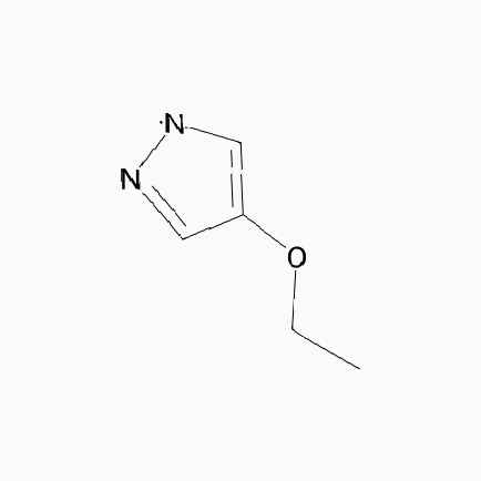 CCOC1=C[N]N=C1